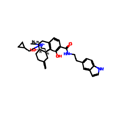 C=C1CC[C@@]2(O)[C@H]3Cc4ccc(C(=O)NCCc5ccc6[nH]ccc6c5)c(O)c4[C@@]2(CC[N+]3(C)CC2CC2)C1